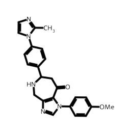 COc1ccc(-n2cnc3c2C(=O)CC(c2ccc(-n4ccnc4C)cc2)NC3)cc1